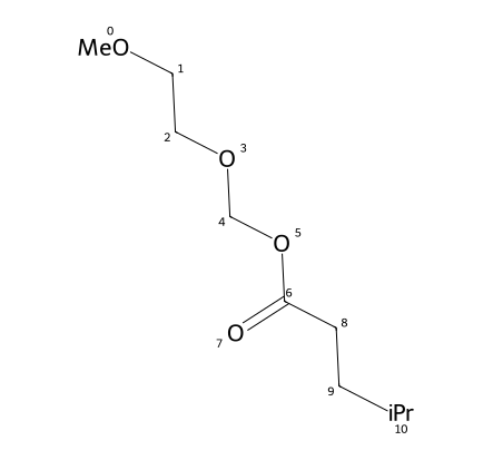 COCCOCOC(=O)CCC(C)C